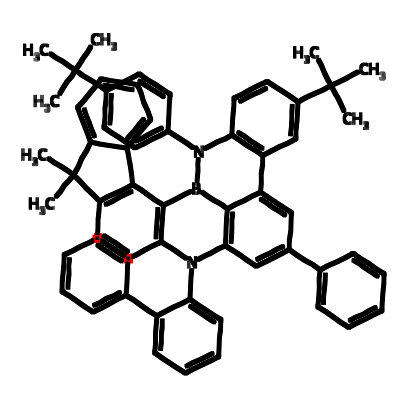 CC(C)(C)c1ccc(N2B3c4c(cc(-c5ccccc5)cc4N(c4ccccc4-c4ccccc4)c4ccc5c(c43)-c3ccccc3C5(C)C)-c3cc(C(C)(C)C)ccc32)cc1